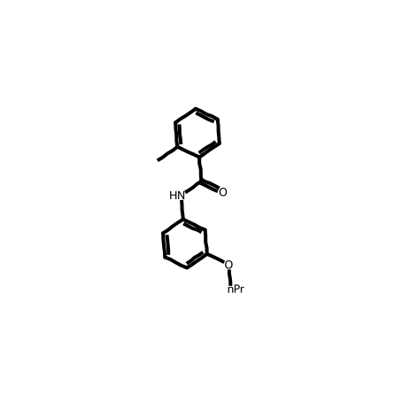 CCCOc1cccc(NC(=O)c2ccccc2C)c1